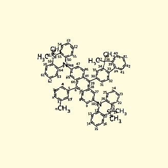 Cc1cccc(-c2c3ccc(N4c5ccccc5[Si](C)(C)c5ccccc54)cc3c(-c3ccc4c(c3)C(C)(C)c3ccccc3-4)c3ccc(N4c5ccccc5[Si](C)(C)c5ccccc54)cc23)c1